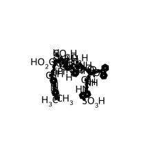 CC(C)[C@H](NC(=O)[C@@H](NC(=O)[C@H](CC(=O)O)NC(=O)CNC(=O)[C@H](CCC(=O)NCCNc1cccc2c(S(=O)(=O)O)cccc12)NC(=O)OCC1c2ccccc2-c2ccccc21)c1ccccc1)C(=O)N[C@@H](CC(=O)O)C(=O)N[C@@H](CCC(=O)O)C(=O)N[C@@H](CCCCNC(=O)c1ccc(/N=N/c2ccc(N(C)C)cc2)cc1)C(=O)O